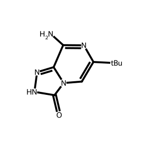 CC(C)(C)c1cn2c(=O)[nH]nc2c(N)n1